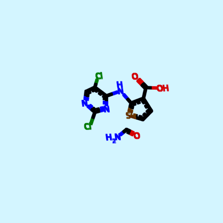 NC=O.O=C(O)c1ccsc1Nc1nc(Cl)ncc1Cl